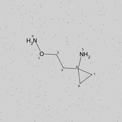 NOCCC1(N)CC1